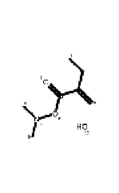 C=C(CC)C(=O)ON(C)C.Cl